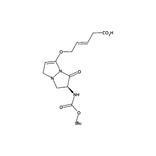 CC(C)(C)OC(=O)N[C@H]1CN2CC=C(OCC=CCC(=O)O)N2C1=O